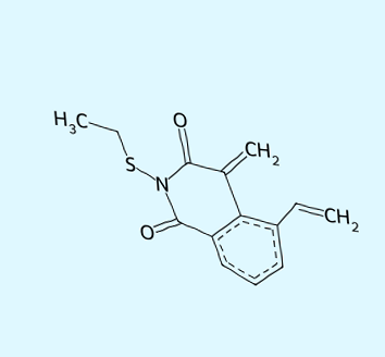 C=Cc1cccc2c1C(=C)C(=O)N(SCC)C2=O